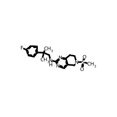 CC(C)(CNc1ncc2c(n1)CCN(S(C)(=O)=O)C2)c1ccc(F)cc1